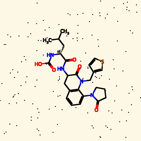 CC(C)C[C@@H](NC(=O)O)C(=O)NC1Cc2cccc(N3CCCC3=O)c2N(Cc2ccsc2)C1=O